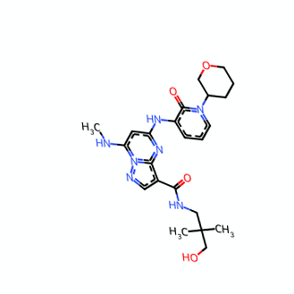 CNc1cc(Nc2cccn(C3CCCOC3)c2=O)nc2c(C(=O)NCC(C)(C)CO)cnn12